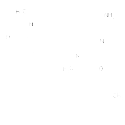 Cc1cccc(C)c1Oc1nc(N)cc(-c2cn(C)c(=O)c3ccccc23)n1